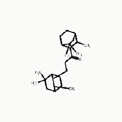 CC1C2CCC(C1CCC(=O)C1C(C)C3CCC1C(C)(C)C3)C(C)(C)C2